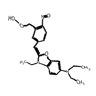 CCN(CC)c1ccc2c(c1)O/C(=C\c1ccc(N=O)c(COO)c1)N2CC